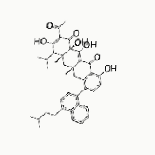 CC(=O)C1=C(O)C(C(C)C)[C@@]2(C)C[C@@]3(C)Cc4c(-c5ccc(CCC(C)C)c6ccccc56)ccc(O)c4C(=O)C3=C(O)[C@@]2(O)C1=O